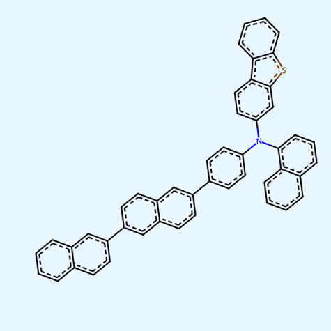 c1ccc2cc(-c3ccc4cc(-c5ccc(N(c6ccc7c(c6)sc6ccccc67)c6cccc7ccccc67)cc5)ccc4c3)ccc2c1